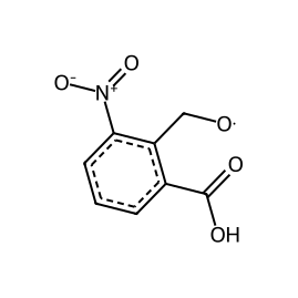 [O]Cc1c(C(=O)O)cccc1[N+](=O)[O-]